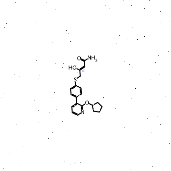 NC(=O)/C=C(\O)CSc1ccc(-c2cccnc2OC2CCCC2)cc1